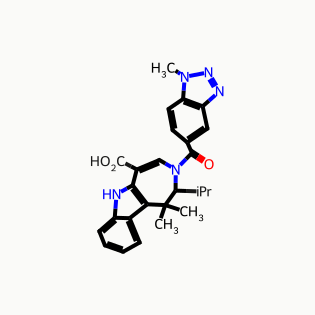 CC(C)C1N(C(=O)c2ccc3c(c2)nnn3C)C=C(C(=O)O)c2[nH]c3ccccc3c2C1(C)C